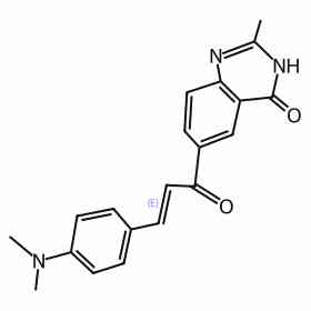 Cc1nc2ccc(C(=O)/C=C/c3ccc(N(C)C)cc3)cc2c(=O)[nH]1